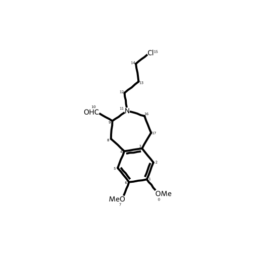 COc1cc2c(cc1OC)CC(C=O)N(CCCCl)CC2